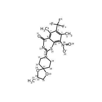 Cc1c(C(F)(F)F)c(C)c2c(=O)nc(N3CCC4(CC3)OC[C@H](C)O4)sc2c1[N+](=O)[O-]